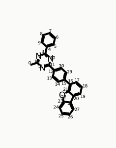 Cc1nc(-c2ccccc2)nc(-c2ccc(-c3cccc4c3oc3ccccc34)cc2)n1